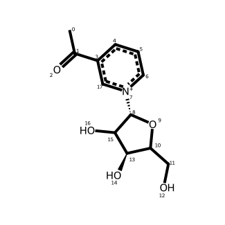 CC(=O)c1ccc[n+]([C@@H]2OC(CO)[C@@H](O)C2O)c1